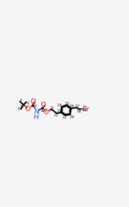 CC(C)(C)OC(=O)NC(=O)OCCc1ccc(CCBr)cc1